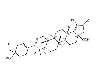 CC(C)C1=C2[C@H]3CC[C@@H]4[C@@]5(C)CC=C(C6=CCC(CF)(C(=O)O)CC6)C(C)(C)[C@@H]5CC[C@@]4(C)[C@]3(C)CC[C@@]2(C(=O)O)CC1=O